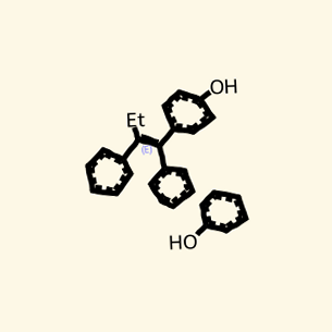 CC/C(=C(/c1ccccc1)c1ccc(O)cc1)c1ccccc1.Oc1ccccc1